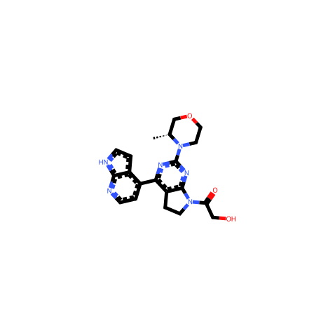 C[C@@H]1COCCN1c1nc(-c2ccnc3[nH]ccc23)c2c(n1)N(C(=O)CO)CC2